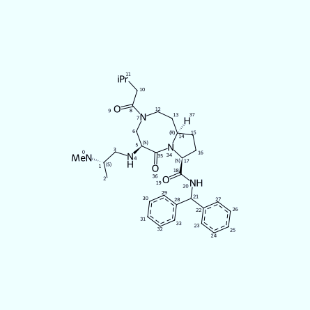 CN[C@@H](C)CN[C@H]1CN(C(=O)CC(C)C)CC[C@H]2CC[C@@H](C(=O)NC(c3ccccc3)c3ccccc3)N2C1=O